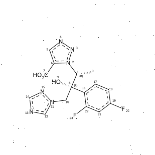 C[C@@H](n1nncc1C(=O)O)[C@](O)(Cn1cncn1)c1ccc(F)cc1F